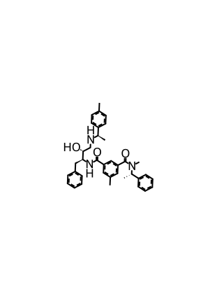 Cc1ccc([C@@H](C)NC[C@@H](O)[C@H](Cc2ccccc2)NC(=O)c2cc(C)cc(C(=O)N(C)[C@@H](C)c3ccccc3)c2)cc1